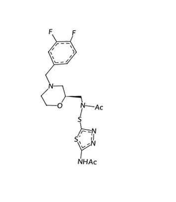 CC(=O)Nc1nnc(SN(C[C@@H]2CN(Cc3ccc(F)c(F)c3)CCO2)C(C)=O)s1